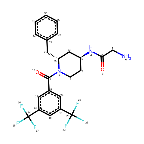 NCC(=O)N[C@H]1CCN(C(=O)c2cc(C(F)(F)F)cc(C(F)(F)F)c2)[C@H](Cc2ccccc2)C1